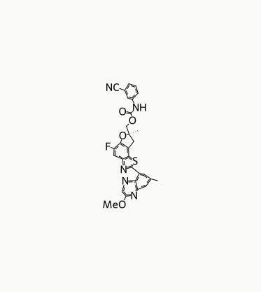 COc1cnc2c(-c3nc4cc(F)c5c(c4s3)C[C@](C)(COC(=O)Nc3cccc(C#N)c3)O5)cc(C)cc2n1